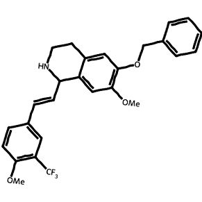 COc1cc2c(cc1OCc1ccccc1)CCNC2C=Cc1ccc(OC)c(C(F)(F)F)c1